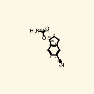 N#Cc1ccc2c(c1)CC[C@H]2OC(N)=O